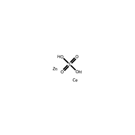 O=S(=O)(O)O.[Ce].[Zn]